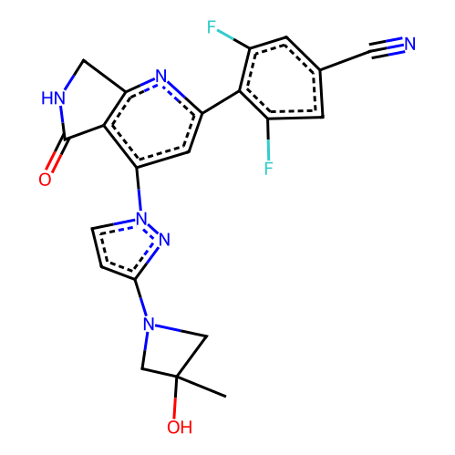 CC1(O)CN(c2ccn(-c3cc(-c4c(F)cc(C#N)cc4F)nc4c3C(=O)NC4)n2)C1